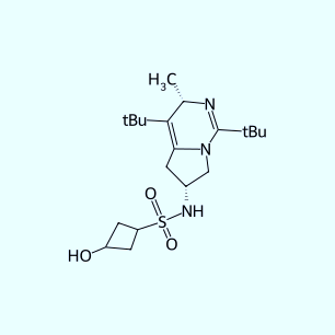 C[C@@H]1N=C(C(C)(C)C)N2C[C@H](NS(=O)(=O)C3CC(O)C3)CC2=C1C(C)(C)C